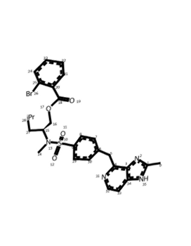 Cc1nc2c(Cc3ccc(S(=O)(=O)N(C)[C@H](COC(=O)c4ccccc4Br)CC(C)C)cc3)nccc2[nH]1